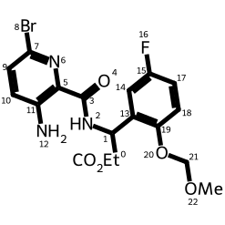 CCOC(=O)C(NC(=O)c1nc(Br)ccc1N)c1cc(F)ccc1OCOC